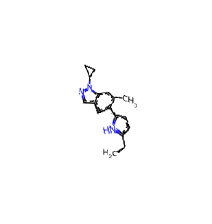 C=Cc1ccc(-c2cc3cnn(C4CC4)c3cc2C)[nH]1